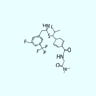 CC(I)C(SC(=N)Cc1cc(F)cc(C(F)(F)F)c1)C1C=CC(C(=O)NCC(=O)N(C)C)=CC1